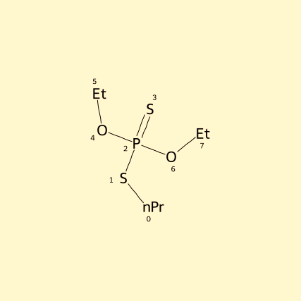 CCCSP(=S)(OCC)OCC